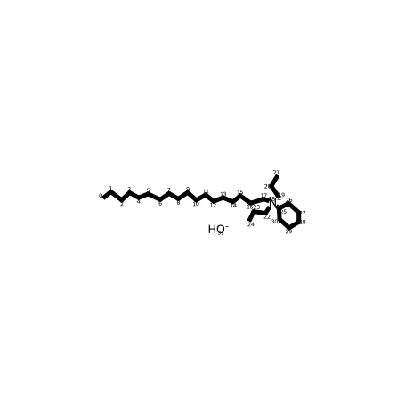 CCCCCCCCCCCCCCCCCC[N+](CCC)(CCC)C1CCCCC1.[OH-]